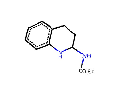 CCOC(=O)NC1CCc2ccccc2N1